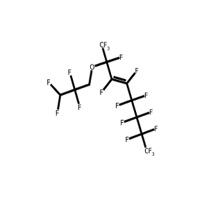 FC(=C(F)C(F)(OCC(F)(F)C(F)F)C(F)(F)F)C(F)(F)C(F)(F)C(F)(F)C(F)(F)F